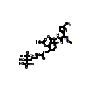 CO/N=C(\C(=O)N[C@@H]1C(=O)N2C(OC(=O)O)=C(COC(=O)NCCCC(O)(P(=O)(O)O)P(=O)(O)O)CS[C@@H]12)c1csc(N)n1